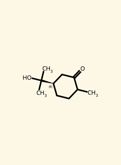 CC1CC[C@@H](C(C)(C)O)CC1=O